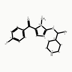 CC(C)C(Oc1ncc(C(=O)c2ccc(F)cc2)n1C)C1CCNCC1